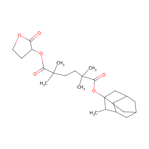 CC1C2CC3CC(C2)CC1(OC(=O)C(C)(C)CCC(C)(C)C(=O)OC1CCOC1=O)C3